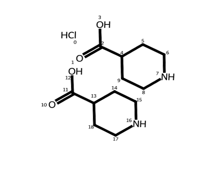 Cl.O=C(O)C1CCNCC1.O=C(O)C1CCNCC1